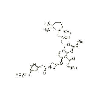 CC1(C)CCCC(C)(OB(O)CCc2ccc(OC3CN(C(=O)Cc4cn(CC(=O)O)nn4)C3)c(C(=O)OC(C)(C)C)c2OC(=O)OC(C)(C)C)C1